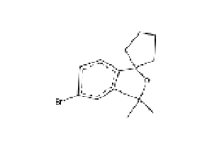 CC1(C)OC2(CCCC2)c2ccc(Br)cc21